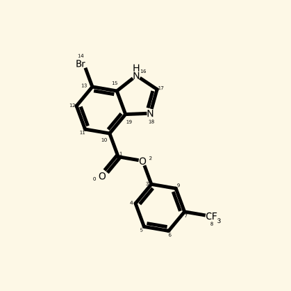 O=C(Oc1cccc(C(F)(F)F)c1)c1ccc(Br)c2[nH]cnc12